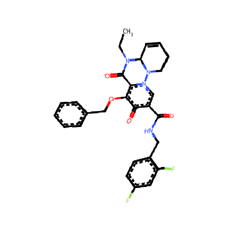 CCN1C(=O)c2c(OCc3ccccc3)c(=O)c(C(=O)NCc3ccc(F)cc3F)cn2N2CCC=CC12